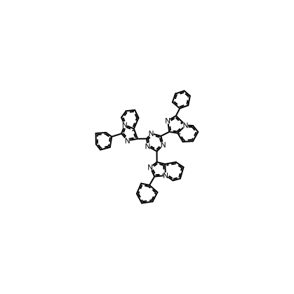 c1ccc(-c2nc(-c3nc(-c4nc(-c5ccccc5)n5ccccc45)nc(-c4nc(-c5ccccc5)n5ccccc45)n3)c3ccccn23)cc1